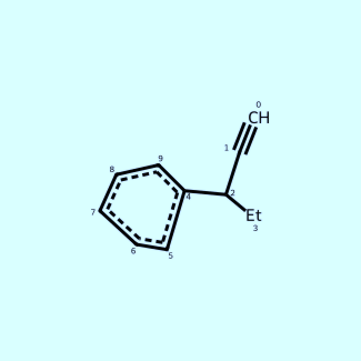 C#CC(CC)c1ccccc1